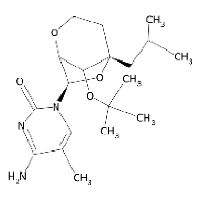 Cc1cn([C@@H]2O[C@@]3(CC(C)C)CCOC2C3OC(C)(C)C)c(=O)nc1N